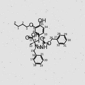 CCCCOc1cc(C[C@@](C)(C(=O)O)N(Cc2ccccc2)NC(=O)OCc2ccccc2)ccc1O